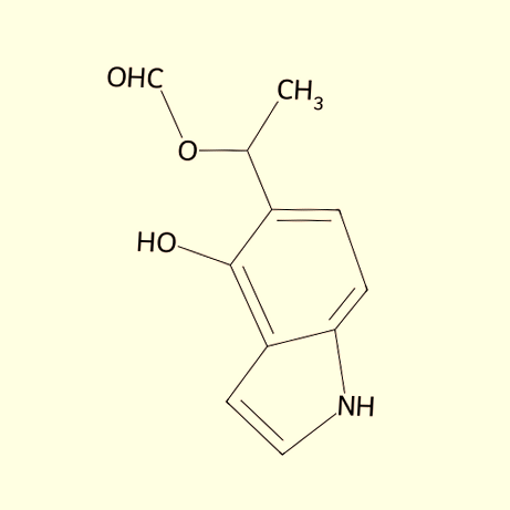 CC(OC=O)c1ccc2[nH]ccc2c1O